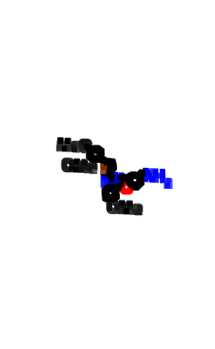 COc1ccc(-c2ccc(-c3nc4ccc(OC)cc4c(=O)n3CC3CCCC(CN)C3)s2)c(OC)c1